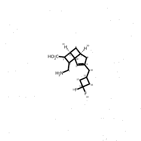 NCC1C(C(=O)O)[C@H]2C[C@H]3CC(CC4CC(F)(F)C4)=CC132